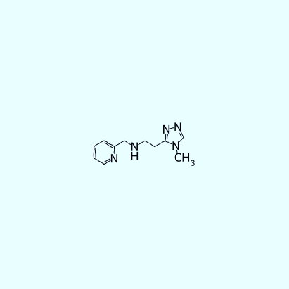 Cn1cnnc1CCNCc1ccccn1